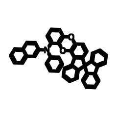 c1ccc(N(c2ccc3ccccc3c2)c2cccc3c2Oc2c(ccc4c2-c2ccccc2C42c4ccccc4-c4ccccc42)O3)cc1